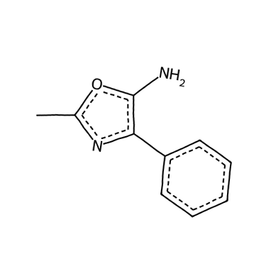 Cc1nc(-c2ccccc2)c(N)o1